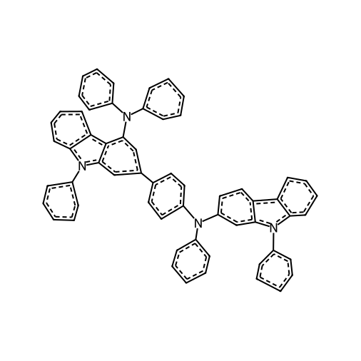 c1ccc(N(c2ccc(-c3cc(N(c4ccccc4)c4ccccc4)c4c5ccccc5n(-c5ccccc5)c4c3)cc2)c2ccc3c4ccccc4n(-c4ccccc4)c3c2)cc1